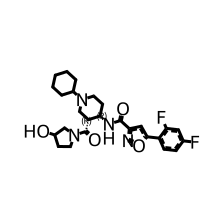 O=C(N[C@@H]1CCN(C2CCCCC2)C[C@H]1C(=O)N1CCC(O)C1)c1cc(-c2ccc(F)cc2F)on1